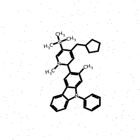 Cc1cc2c(cc1C1C=C(CC3CCCC3)C([Si](C)(C)C)=CN1C)c1ccccc1n2-c1ccccc1